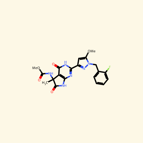 COC(=O)NC1(C)C(=O)Nc2nc(-c3cc(OC)n(Cc4ccccc4F)n3)[nH]c(=O)c21